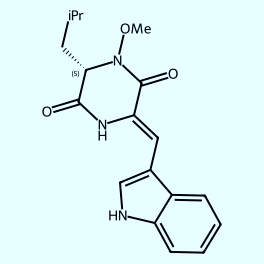 CON1C(=O)C(=Cc2c[nH]c3ccccc23)NC(=O)[C@@H]1CC(C)C